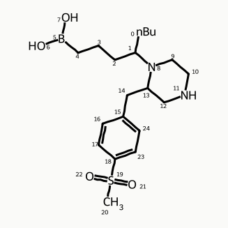 CCCCC(CCCB(O)O)N1CCNCC1Cc1ccc(S(C)(=O)=O)cc1